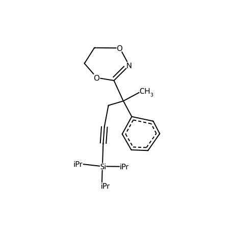 CC(C)[Si](C#CCC(C)(C1=NOCCO1)c1ccccc1)(C(C)C)C(C)C